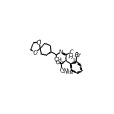 COC(=O)C(/C(C)=N\C(C)C1CCC2(CC1)OCCO2)c1ccccc1Br